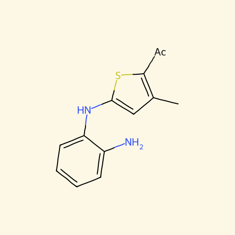 CC(=O)c1sc(Nc2ccccc2N)cc1C